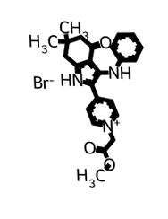 COC(=O)C[n+]1ccc(-c2[nH]c3c(c2Nc2ccccc2)C(=O)CC(C)(C)C3)cc1.[Br-]